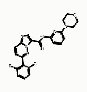 O=C(Nc1cccc(N2CCOCC2)n1)c1cnc2ccc(-c3c(F)cccc3Cl)nn12